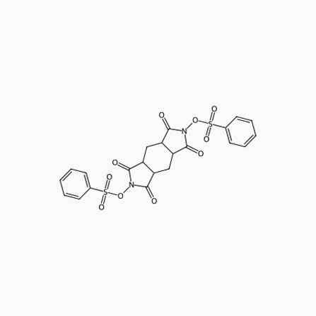 O=C1C2CC3C(=O)N(OS(=O)(=O)c4ccccc4)C(=O)C3CC2C(=O)N1OS(=O)(=O)c1ccccc1